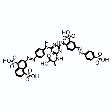 CC(Nc1nc(Nc2ccc(N=Nc3cc(S(=O)(=O)O)c4cccc(S(=O)(=O)O)c4c3)cc2)nc(Nc2ccc(N=Nc3ccc(S(=O)(=O)O)cc3)cc2S(=O)(=O)O)n1)C(=O)O